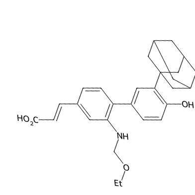 CCOCNc1cc(/C=C/C(=O)O)ccc1-c1ccc(O)c(C23CC4CC(CC(C4)C2)C3)c1